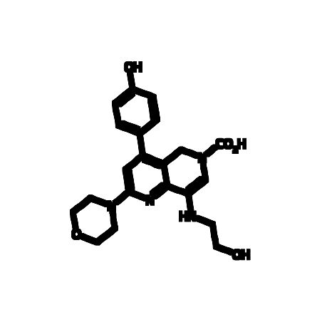 O=C(O)N1C=C(NCCO)c2nc(N3CCOCC3)cc(-c3ccc(O)cc3)c2C1